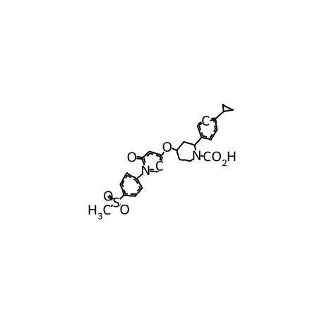 CS(=O)(=O)c1ccc(-n2ccc(OC3CCN(C(=O)O)C(c4ccc(C5CC5)cc4)C3)cc2=O)cc1